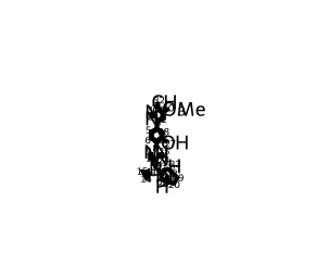 COc1cc(-c2ccc(-c3ncc(N(C4CC4)[C@@H]4C[C@H]5CC[C@@H](C4)N5)nn3)c(O)c2)nnc1C